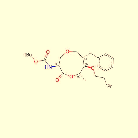 CC(C)CCO[C@@H]1[C@@H](Cc2ccccc2)COC[C@H](NC(=O)OC(C)(C)C)C(=O)O[C@H]1C